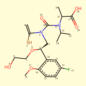 C=C(S)N(C[C@H](OCCO)c1cc(F)ccc1OC)C(=O)N(C(C)C)C(C)C(=O)O